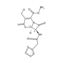 BOC(=O)C1=C(CCl)C(=C)S[C@@H]2[C@H](NC(=O)Cc3cccs3)C(=O)N12